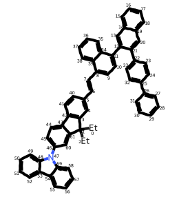 CCC1(CC)c2cc(/C=C/c3ccc(-c4cc5ccccc5cc4-c4ccc(-c5ccccc5)cc4)c4ccccc34)ccc2-c2ccc(-n3c4ccccc4c4ccccc43)cc21